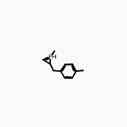 Cc1ccc(CC2C=[PH]2C)cc1